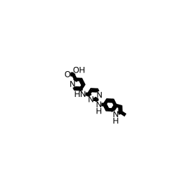 Cc1cc2ccc(Nc3nccc(Nc4ccc(C(=O)O)nc4)n3)cc2[nH]1